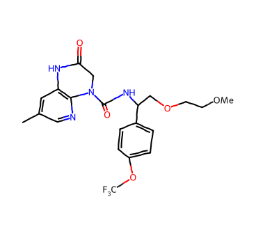 COCCOCC(NC(=O)N1CC(=O)Nc2cc(C)cnc21)c1ccc(OC(F)(F)F)cc1